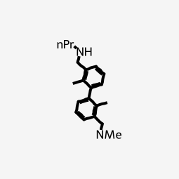 CCCNCc1cccc(-c2cccc(CNC)c2C)c1C